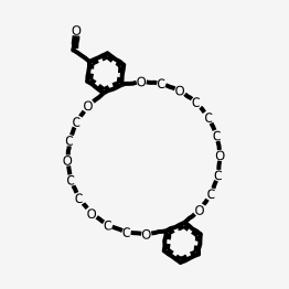 O=Cc1ccc2c(c1)OCCOCCOCCOc1ccccc1OCCOCCCOCO2